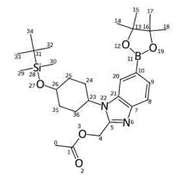 CC(=O)OCc1nc2ccc(B3OC(C)(C)C(C)(C)O3)cc2n1C1CCC(O[Si](C)(C)C(C)(C)C)CC1